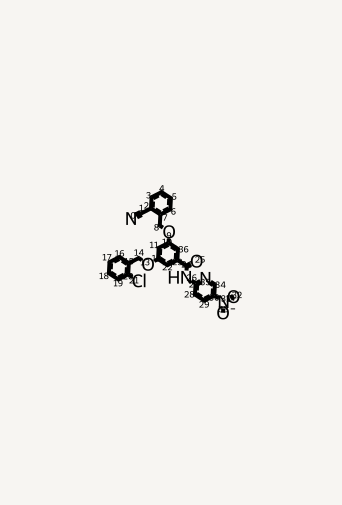 N#Cc1ccccc1COc1cc(OCc2ccccc2Cl)cc(C(=O)Nc2ccc([N+](=O)[O-])cn2)c1